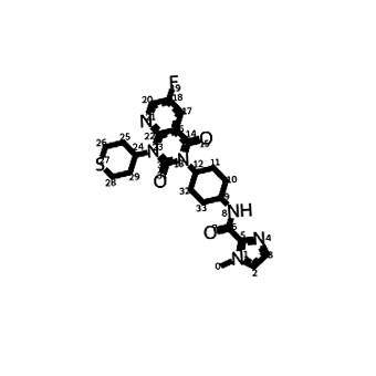 Cn1ccnc1C(=O)NC1CCC(n2c(=O)c3cc(F)cnc3n(C3CCSCC3)c2=O)CC1